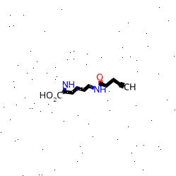 C#CCCC(=O)NCCCCC(N)C(=O)O